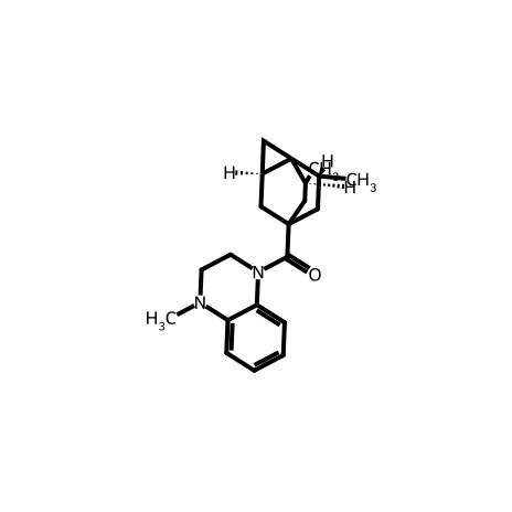 C[C@@H]1CC2(C(=O)N3CCN(C)c4ccccc43)C[C@H]3CC31[C@@H](C)C2